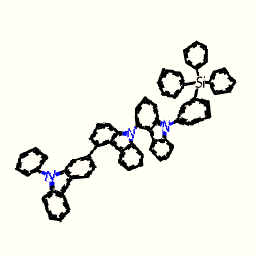 c1ccc(-n2c3ccccc3c3ccc(-c4cccc5c4c4ccccc4n5-c4cccc5c4c4ccccc4n5-c4cccc([Si](c5ccccc5)(c5ccccc5)c5ccccc5)c4)cc32)cc1